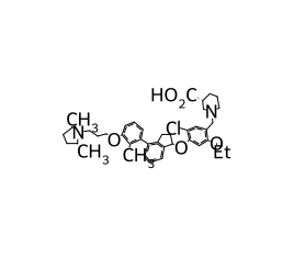 CCOc1cc(O[C@H]2CCc3c(-c4cccc(OCCCN5[C@H](C)CC[C@H]5C)c4C)cccc32)c(Cl)cc1CN1CCC[C@@H](C(=O)O)C1